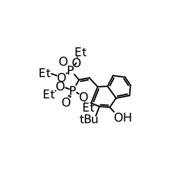 CCOP(=O)(OCC)C(=Cc1cc(C(C)(C)C)c(O)c2ccccc12)P(=O)(OCC)OCC